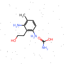 Cc1ccc(N)c(CCO)c1N.NC(=O)O